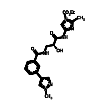 CCOC(=O)n1cc(NC(=O)[C@@H](O)CNC(=O)c2cccc(-c3cnn(C)c3)c2)nc1C